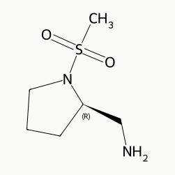 CS(=O)(=O)N1CCC[C@@H]1CN